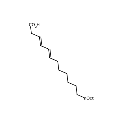 CCCCCCCCCCCCCCC=CC=CCC(=O)O